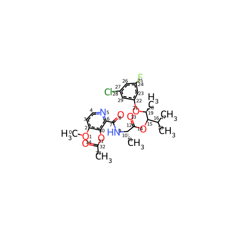 COc1ccnc(C(=O)N[C@@H](C)C(=O)OC(C(C)C)[C@H](C)Oc2cc(F)cc(Cl)c2)c1OC(C)=O